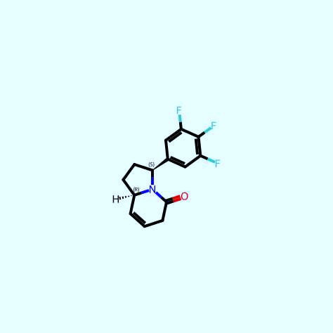 O=C1CC=C[C@H]2CC[C@@H](c3cc(F)c(F)c(F)c3)N12